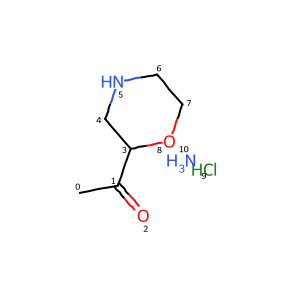 CC(=O)C1CNCCO1.Cl.N